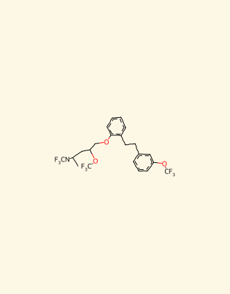 CC(CC(COc1ccccc1CCc1cccc(OC(F)(F)F)c1)OC(F)(F)F)NC(F)(F)F